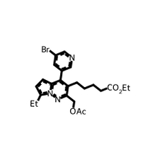 CCOC(=O)CCCCc1c(COC(C)=O)nn2c(CC)ccc2c1-c1cncc(Br)c1